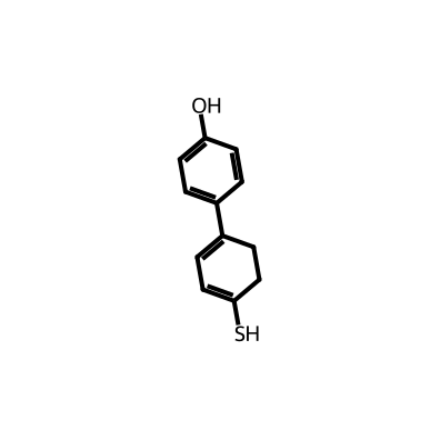 Oc1ccc(C2=CC=C(S)CC2)cc1